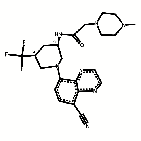 CN1CCN(CC(=O)N[C@@H]2C[C@H](C(F)(F)F)CN(c3ccc(C#N)c4nccnc34)C2)CC1